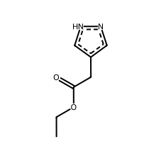 CCOC(=O)Cc1cn[nH]c1